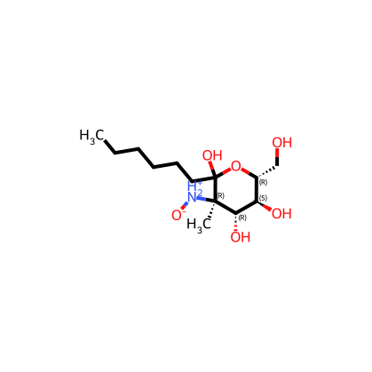 CCCCCCC1(O)O[C@H](CO)[C@@H](O)[C@H](O)[C@@]1(C)[NH2+][O-]